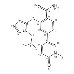 CC(C)Cn1cncc1Cc1cc(-c2ccc(=O)n(C)n2)ccc1C(N)=O